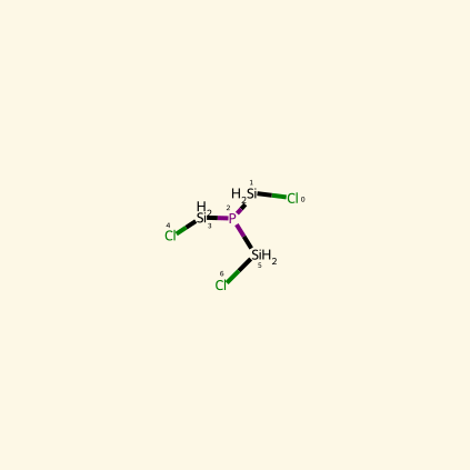 Cl[SiH2]P([SiH2]Cl)[SiH2]Cl